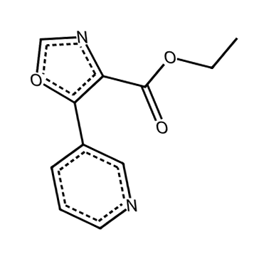 CCOC(=O)c1ncoc1-c1cccnc1